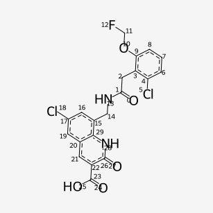 O=C(Cc1c(Cl)cccc1OCF)NCc1cc(Cl)cc2cc(C(=O)O)c(=O)[nH]c12